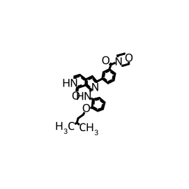 CC(C)CCOc1ccccc1Nc1nc(-c2cccc(C(=O)N3CCOCC3)c2)cc2cc[nH]c(=O)c12